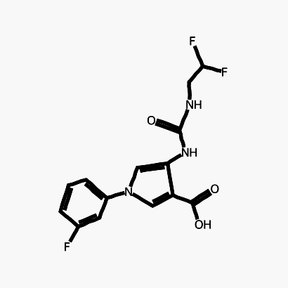 O=C(NCC(F)F)Nc1cn(-c2cccc(F)c2)cc1C(=O)O